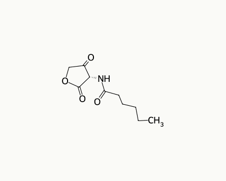 CCCCCC(=O)N[C@H]1C(=O)COC1=O